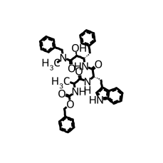 CC(NC(=O)OCc1ccccc1)C(=O)N[C@@H](Cc1c[nH]c2ccccc12)C(=O)N[C@@H](Cc1ccccc1)[C@H](O)C(=O)N(C)Cc1ccccc1